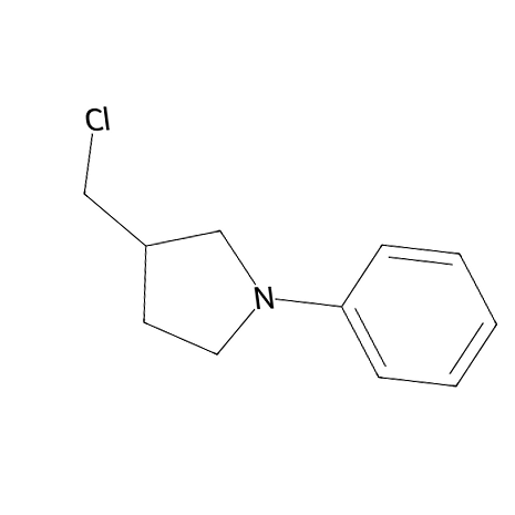 ClCC1CCN(c2ccccc2)C1